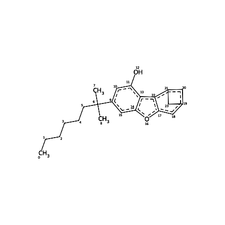 CCCCCCC(C)(C)c1cc(O)c2c(c1)oc1cc3cc(c12)C3